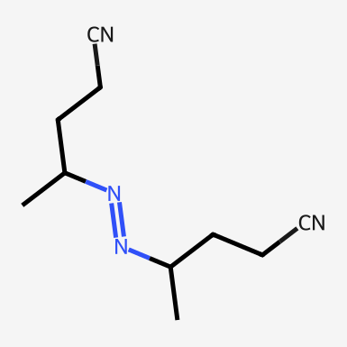 CC(CCC#N)N=NC(C)CCC#N